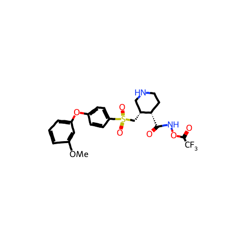 COc1cccc(Oc2ccc(S(=O)(=O)C[C@@H]3CNCC[C@@H]3C(=O)NOC(=O)C(F)(F)F)cc2)c1